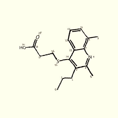 CCCc1c(C)nc2c(C)cccc2c1SCCC(=O)O